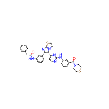 O=C(Cc1ccccc1)Nc1cccc(-c2nc3sccn3c2-c2ccnc(Nc3cccc(C(=O)N4CCSCC4)c3)n2)c1